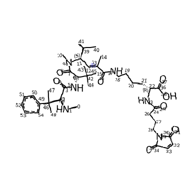 CN[C@H](C(=O)N[C@H](C(=O)N(C)[C@H](/C=C(\C)C(=O)NCCCC[C@@H](NC(=O)CCCN1C(=O)C=CC1=O)C(=O)O)C(C)C)C(C)(C)C)C(C)(C)c1ccccc1